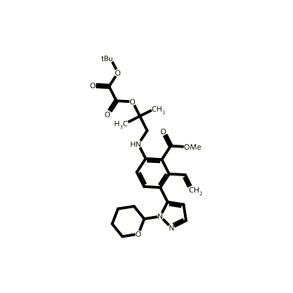 C=Cc1c(-c2ccnn2C2CCCCO2)ccc(NCC(C)(C)OC(=O)C(=O)OC(C)(C)C)c1C(=O)OC